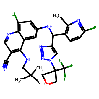 Cc1nc(F)ccc1C(Nc1cc(Cl)c2ncc(C#N)c(NCC(C)(C)C)c2c1)c1cn(C2(C(F)(F)F)COC2)nn1